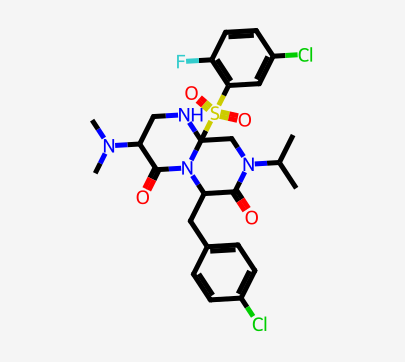 CC(C)N1CC2(S(=O)(=O)c3cc(Cl)ccc3F)NCC(N(C)C)C(=O)N2C(Cc2ccc(Cl)cc2)C1=O